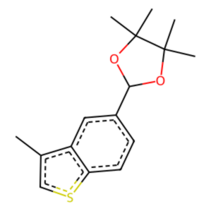 Cc1csc2ccc(C3OC(C)(C)C(C)(C)O3)cc12